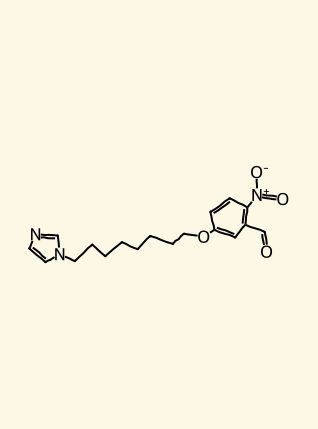 O=Cc1cc(OCCCCCCCCn2ccnc2)ccc1[N+](=O)[O-]